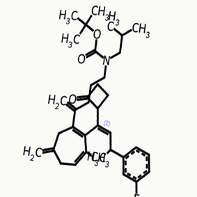 C=C1CC=C(C)C(/C(=C\C(C)c2cccc(F)c2)C2CCC2=O)=C(C(=C)CCCN(CC(C)C)C(=O)OC(C)(C)C)C1